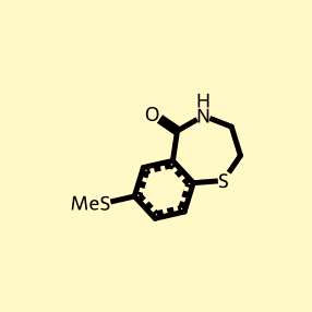 CSc1ccc2c(c1)C(=O)NCCS2